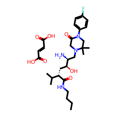 CCCCNC(=O)[C@@H](C[C@H](O)[C@@H](N)CN1CC(=O)N(c2ccc(F)cc2)CC1(C)C)C(C)C.O=C(O)/C=C/C(=O)O